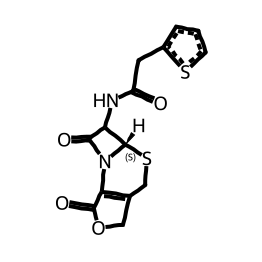 O=C(Cc1cccs1)NC1C(=O)N2C3=C(COC3=O)CS[C@@H]12